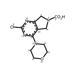 O=C(O)N1Cc2nc(Cl)nc(N3CCOCC3)c2C1